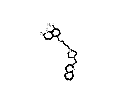 Cc1ccc(OCCCN2CCN(Cc3ccc4ccccc4n3)CC2)c2c1NC(=O)CC2